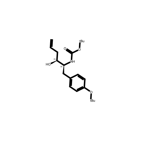 C=CC[C@H](O)[C@H](Cc1ccc(OC(C)(C)C)cc1)NC(=O)OC(C)(C)C